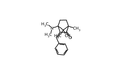 CN(C)C12CCC(C)(C(=O)C1=Cc1ccccc1)C2(C)C